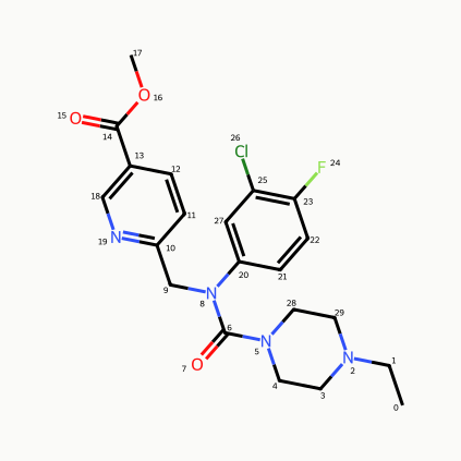 CCN1CCN(C(=O)N(Cc2ccc(C(=O)OC)cn2)c2ccc(F)c(Cl)c2)CC1